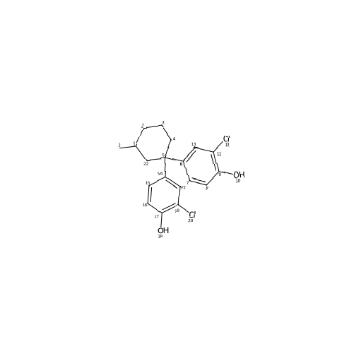 CC1CCCC(c2ccc(O)c(Cl)c2)(c2ccc(O)c(Cl)c2)C1